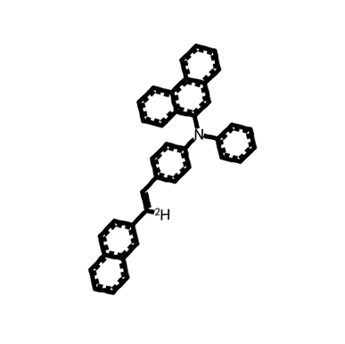 [2H]/C(=C\c1ccc(N(c2ccccc2)c2cc3ccccc3c3ccccc23)cc1)c1ccc2ccccc2c1